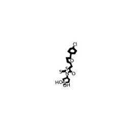 O=C1C(=Cc2ccc(-c3ccc(Cl)cc3)o2)SC(=S)N1C1CCS(O)(O)C1